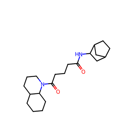 O=C(CCCC(=O)N1CCCC2CCCCC21)NC1CC2CCC1C2